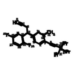 C#CCC(C1=CC=C(C#C[Si](C(C)C)(C(C)C)C(C)C)N(C)C1)c1cc(F)ccc1F